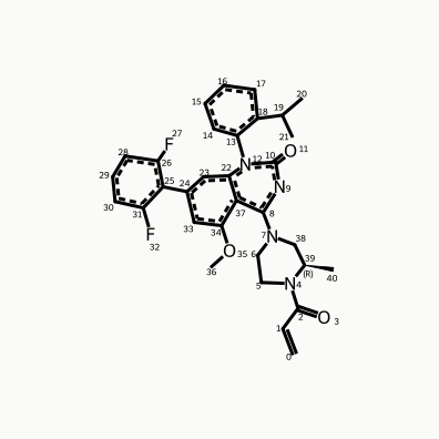 C=CC(=O)N1CCN(c2nc(=O)n(-c3ccccc3C(C)C)c3cc(-c4c(F)cccc4F)cc(OC)c23)C[C@H]1C